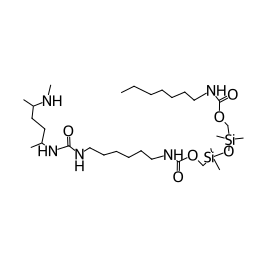 CCCCCCCNC(=O)OC[Si](C)(C)O[Si](C)(C)COC(=O)NCCCCCCNC(=O)NC(C)CCC(C)NC